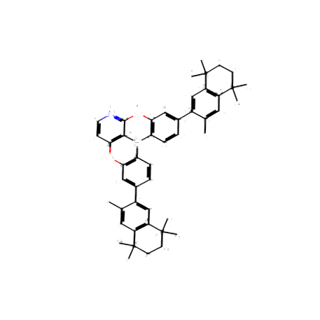 Cc1cc2c(cc1-c1ccc3c(c1)Oc1ccnc4c1B3c1ccc(-c3cc5c(cc3C)C(C)(C)CCC5(C)C)cc1O4)C(C)(C)CCC2(C)C